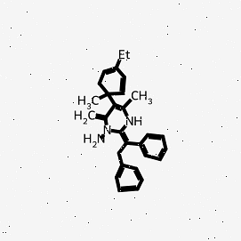 C=C1C(C2(C)C=CC(CC)=CC2)=C(C)N/C(=C(/Cc2ccccc2)c2ccccc2)N1N